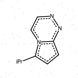 CC(C)c1ccc2nnccn12